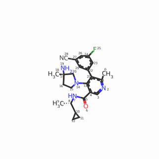 Cc1ncc(C(=O)N[C@@H](C)C2CC2)c(N2CC[C@](C)(N)C2)c1-c1cc(F)cc(C#N)c1